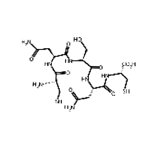 NC(=O)C[C@H](NC(=O)[C@H](CO)NC(=O)[C@H](CC(N)=O)NC(=O)[C@@H](N)CS)C(=O)N[C@@H](CS)C(=O)O